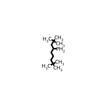 CC(C)(C)CCCC(P)CC(C)(C)C